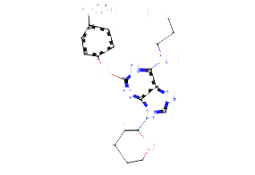 COc1ccc(Oc2nc(NCCC(F)(F)F)c3ncn(C4CCCCO4)c3n2)cc1